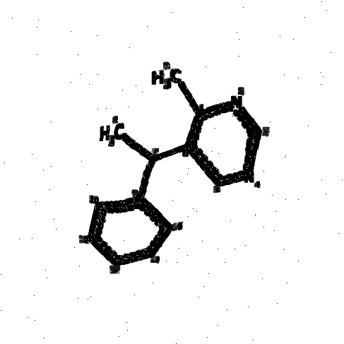 Cc1ncn[c]c1C(C)c1ccccc1